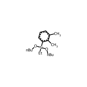 CCCCO[Si](CC)(OCCCC)c1cccc(C)c1C